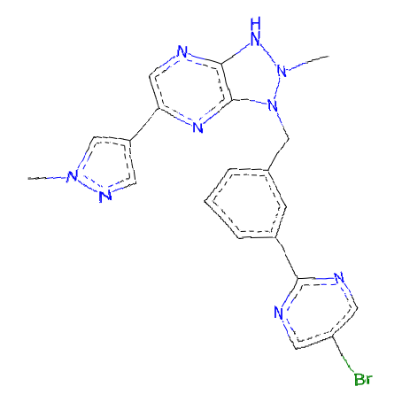 CN1Nc2ncc(-c3cnn(C)c3)nc2N1Cc1cccc(-c2ncc(Br)cn2)c1